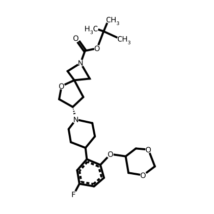 CC(C)(C)OC(=O)N1CC2(C[C@H](N3CCC(c4cc(F)ccc4OC4COCOC4)CC3)CO2)C1